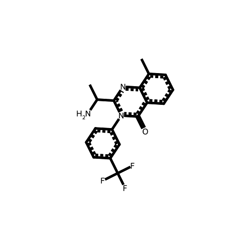 Cc1cccc2c(=O)n(-c3cccc(C(F)(F)F)c3)c(C(C)N)nc12